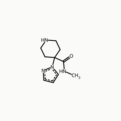 CNC(=O)C1(n2cccn2)CCNCC1